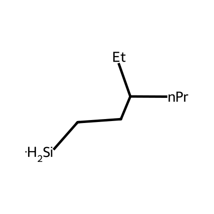 CCCC(CC)CC[SiH2]